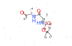 CC(=O)[C@H](C)NC(=O)[C@H](C)NC(=O)OC(C)(C)C